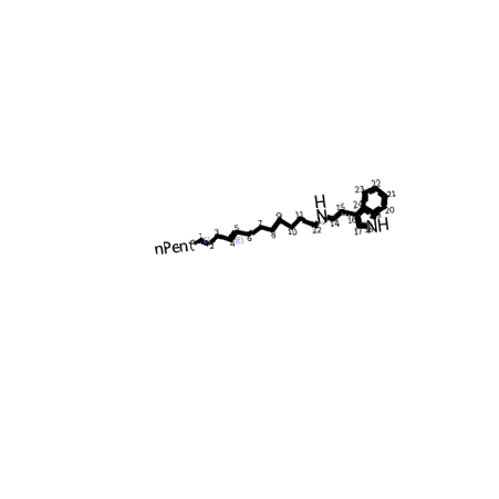 CCCCC/C=C/C/C=C/CCCCCCCNCCc1c[nH]c2ccccc12